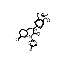 CS(=O)(=O)c1ccc([C@@H](CC2CCC(=O)CC2)C(=O)Nc2ncc(F)s2)cc1F